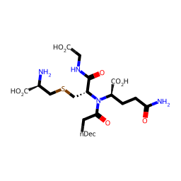 CCCCCCCCCCCC(=O)N([C@H](CCC(N)=O)C(=O)O)[C@H](CSC[C@H](N)C(=O)O)C(=O)NCC(=O)O